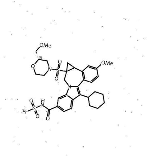 COC[C@@H]1CN(S(=O)(=O)C23CC2c2cc(OC)ccc2-c2c(C4CCCCC4)c4ccc(C(=O)NS(=O)(=O)C(C)C)cc4n2C3)CCO1